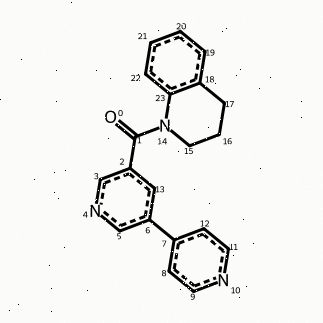 O=C(c1cncc(-c2ccncc2)c1)N1CCCc2ccccc21